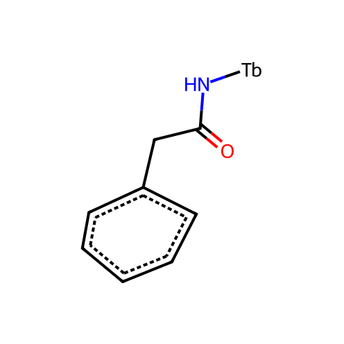 O=C(Cc1ccccc1)[NH][Tb]